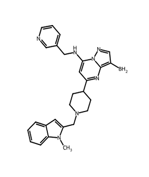 Bc1cnn2c(NCc3cccnc3)cc(C3CCN(Cc4cc5ccccc5n4C)CC3)nc12